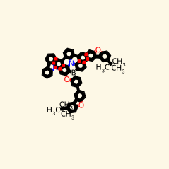 CC(C)(C)c1ccc2oc3ccc(-c4ccc5c(c4)Oc4cc(-n6c7ccccc7c7ccccc76)cc6c4B5c4ccc(-c5ccc7oc8ccc(C(C)(C)C)cc8c7c5)cc4N6c4c(-c5ccccc5)cccc4-c4ccccc4)cc3c2c1